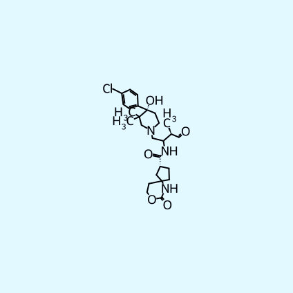 C[C@@H](C=O)C(CN1CC[C@](O)(c2ccc(Cl)cc2)C(C)(C)C1)NC(=O)[C@@H]1CCC2(CCOC(=O)N2)C1